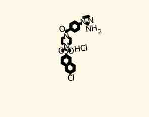 Cl.Nc1nccn1-c1ccc(C(=O)N2CCN(S(=O)(=O)c3ccc4cc(Cl)ccc4c3)CC2)cc1